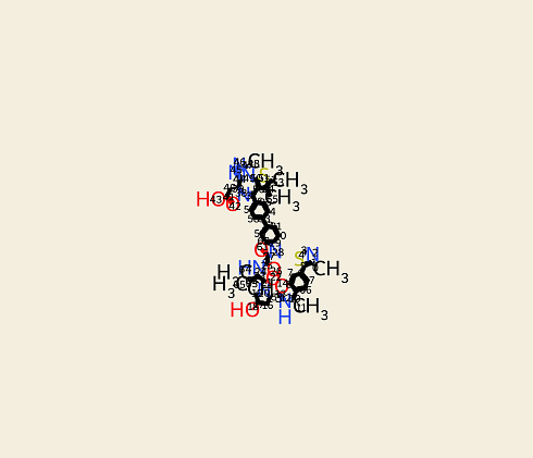 Cc1ncsc1-c1ccc([C@H](C)NC(=O)[C@@H]2C[C@@H](O)CN2C(=O)[C@@H](NC(=O)c2nc3ccc(-c4ccc(C5=N[C@@H](CC(=O)O)c6nnc(C)n6-c6sc(C)c(C)c65)cc4)cc3o2)C(C)(C)C)cc1